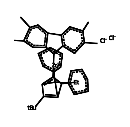 CCC1[C]([Zr+2][CH]2c3cc(C)c(C)cc3-c3cc(C)c(C)cc32)=C2C(C(C)(C)C)=C1C2(c1ccccc1)c1ccccc1.[Cl-].[Cl-]